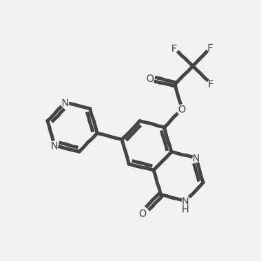 O=C(Oc1cc(-c2cncnc2)cc2c(=O)[nH]cnc12)C(F)(F)F